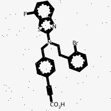 O=C(O)C#Cc1ccc(CN(CCc2ccccc2Br)c2nc3cccc(F)c3s2)cc1